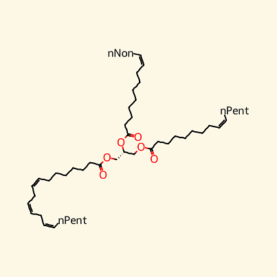 CCCCC/C=C\C/C=C\C/C=C\CCCCCCC(=O)OC[C@@H](COC(=O)CCCCCCC/C=C\CCCCC)OC(=O)CCCCCCC/C=C\CCCCCCCCC